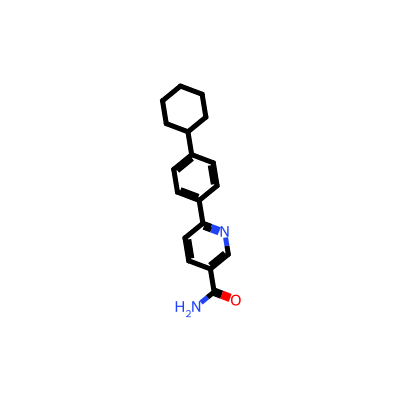 NC(=O)c1ccc(-c2ccc(C3CCCCC3)cc2)nc1